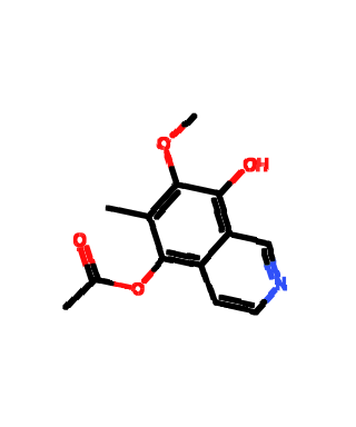 COc1c(C)c(OC(C)=O)c2ccncc2c1O